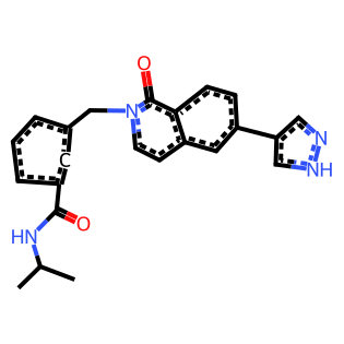 CC(C)NC(=O)c1cccc(Cn2ccc3cc(-c4cn[nH]c4)ccc3c2=O)c1